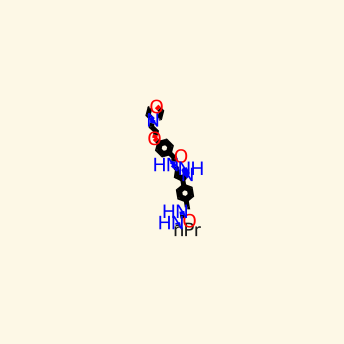 CCCNC(=O)NCc1ccc(-c2cc(NC(=O)c3ccc(OCCN4CCOCC4)cc3)[nH]n2)cc1